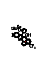 CC1(C)CCc2c(nc(C3CCCC3)c([C@H](O)c3ccc(C(F)(F)F)cc3)c2[C@@H]2CCC=C2O[Si](C)(C)C(C)(C)C)C1